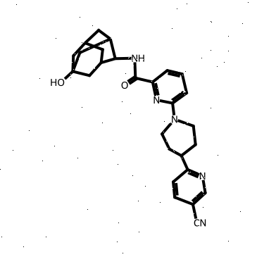 N#Cc1ccc(C2CCN(c3cccc(C(=O)NC4C5CC6CC4CC(O)(C6)C5)n3)CC2)nc1